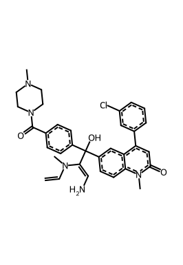 C=CN(C)/C(=C\N)C(O)(c1ccc(C(=O)N2CCN(C)CC2)cc1)c1ccc2c(c1)c(-c1cccc(Cl)c1)cc(=O)n2C